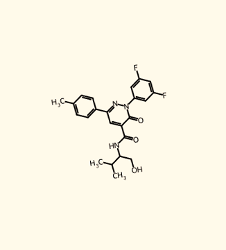 Cc1ccc(-c2cc(C(=O)NC(CO)C(C)C)c(=O)n(-c3cc(F)cc(F)c3)n2)cc1